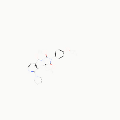 CCOC(c1ccnc(N2CCCC2)c1)N1C(=O)N(c2ccc(OC(F)(F)F)cc2)C(=O)C1(C)C